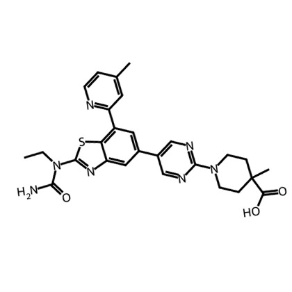 CCN(C(N)=O)c1nc2cc(-c3cnc(N4CCC(C)(C(=O)O)CC4)nc3)cc(-c3cc(C)ccn3)c2s1